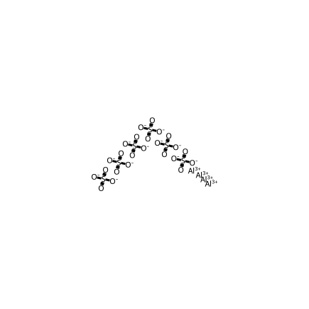 O=S(=O)([O-])[O-].O=S(=O)([O-])[O-].O=S(=O)([O-])[O-].O=S(=O)([O-])[O-].O=S(=O)([O-])[O-].O=S(=O)([O-])[O-].[Al+3].[Al+3].[Al+3].[Al+3]